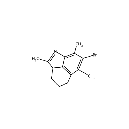 CC1=Nc2c(C)c(Br)c(C)c3c2C1CCC3